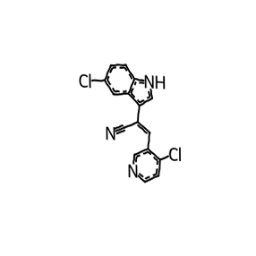 N#C/C(=C\c1cnccc1Cl)c1c[nH]c2ccc(Cl)cc12